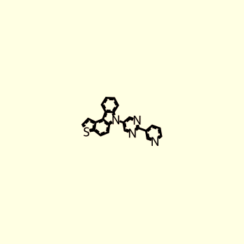 c1cncc(-c2ncc(-n3c4ccccc4c4c5ccsc5ccc43)cn2)c1